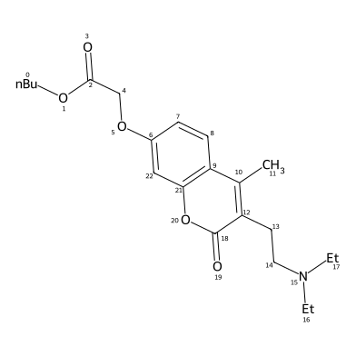 CCCCOC(=O)COc1ccc2c(C)c(CCN(CC)CC)c(=O)oc2c1